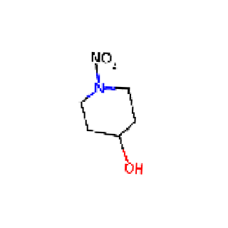 O=[N+]([O-])N1CCC(O)CC1